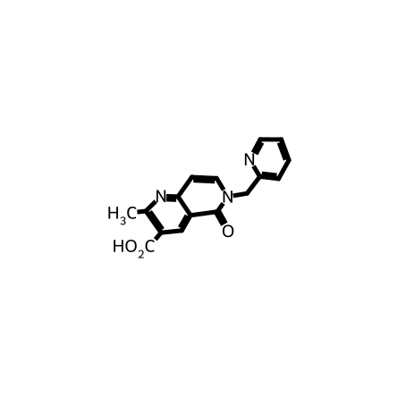 Cc1nc2ccn(Cc3ccccn3)c(=O)c2cc1C(=O)O